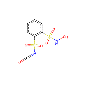 O=C=NS(=O)(=O)c1ccccc1S(=O)(=O)NO